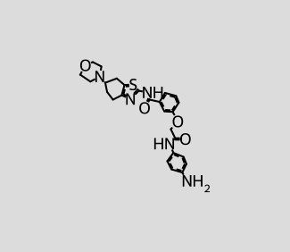 Nc1ccc(NC(=O)COc2cccc(C(=O)Nc3nc4c(s3)C[C@@H](N3CCOCC3)CC4)c2)cc1